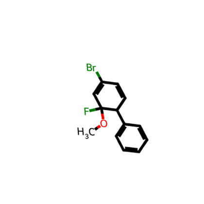 COC1(F)C=C(Br)C=CC1c1ccccc1